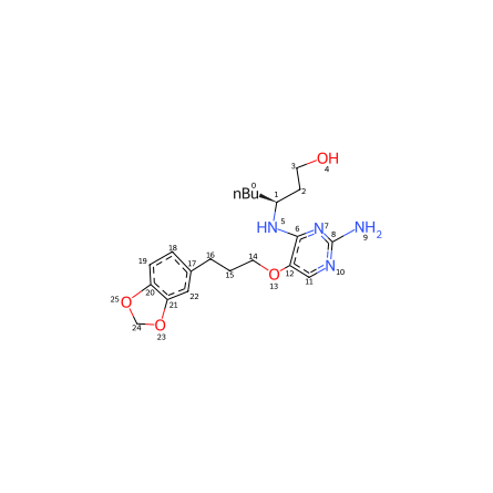 CCCC[C@@H](CCO)Nc1nc(N)ncc1OCCCc1ccc2c(c1)OCO2